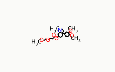 COCCOCCC(=O)OC1=CC2N(C)CCC2(c2ccc(OC)c(OC)c2)CC1